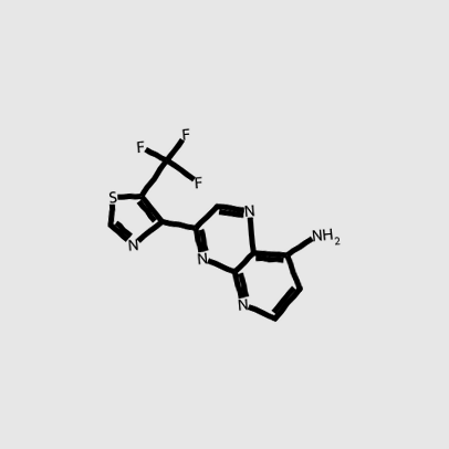 Nc1ccnc2nc(-c3ncsc3C(F)(F)F)cnc12